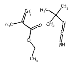 C=C(C)C(=O)OCC.CC(C)(C)N=C=N